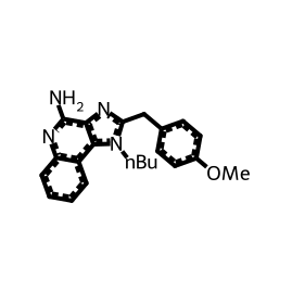 [CH2]CCCn1c(Cc2ccc(OC)cc2)nc2c(N)nc3ccccc3c21